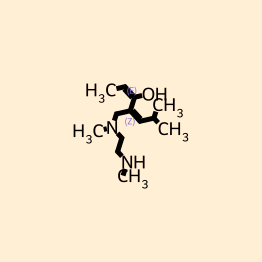 C/C=C(O)\C(=C/C(C)C)CN(C)CCNC